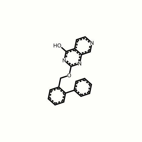 Oc1nc(OCc2ccccc2-c2ccccc2)nc2cnccc12